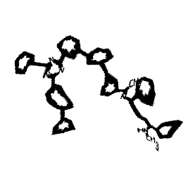 CN\C(=C/C=C(/N=C(\C)c1cccc(-c2cccc(-c3cccc(-c4nc(-c5ccccc5)nc(-c5ccc(-c6ccccc6)cc5)n4)c3)c2)c1)c1ccccc1)C1=CC=CC1